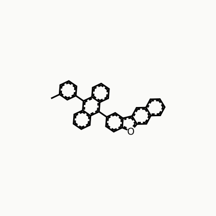 Cc1cccc(-c2c3ccccc3c(-c3ccc4oc5cc6ccccc6cc5c4c3)c3ccccc23)c1